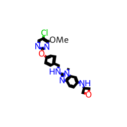 COc1nc(Oc2ccc(CNc3nc4ccc(NC5COC5)cc4n3C)cc2)ncc1Cl